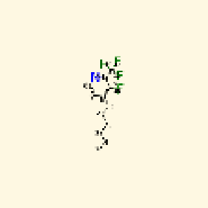 CCCCCCc1ccnc(C(F)(F)F)c1F